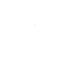 N=C(N)C1CCCCCCCC1